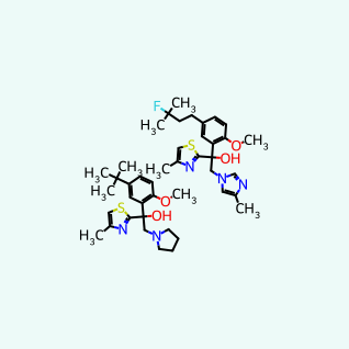 COc1ccc(C(C)(C)C)cc1C(O)(CN1CCCC1)c1nc(C)cs1.COc1ccc(CCC(C)(C)F)cc1C(O)(Cn1cnc(C)c1)c1nc(C)cs1